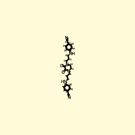 N#Cc1ccc(NCCCN2CCN(CCCNc3ccc(C#N)cc3)C(=O)C2=O)cc1